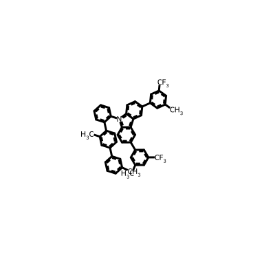 Cc1cccc(-c2ccc(-c3ccccc3-n3c4ccc(-c5cc(C)cc(C(F)(F)F)c5)cc4c4cc(-c5cc(C)cc(C(F)(F)F)c5)ccc43)c(C)c2)c1